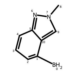 Bc1cccc2nn(C)cc12